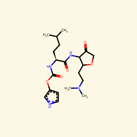 CC(C)CC[C@H](NC(=O)Oc1cc[nH]c1)C(=O)NC1C(=O)COC1CCN(C)C